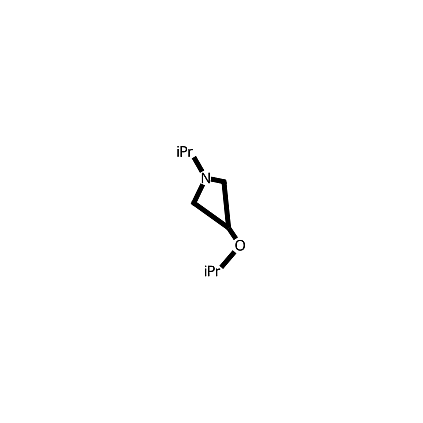 CC(C)OC1CN(C(C)C)C1